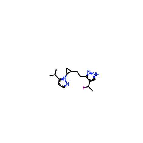 CC(C)c1ccnn1C1CC1CCc1n[nH]cc1C(C)I